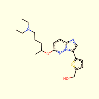 CCN(CC)CCCC(C)Oc1ccc2ncc(-c3ccc(CO)s3)n2n1